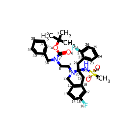 CC(C)(C)OC(=O)N(CCN1Cc2ccc(F)cc2CC1(Cc1ccccc1F)NS(C)(=O)=O)Cc1ccccc1